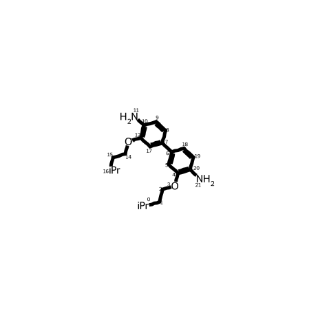 CC(C)CCOc1cc(-c2ccc(N)c(OCCC(C)C)c2)ccc1N